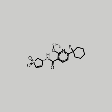 COc1nc(C2(F)CCCCC2)ccc1C(=O)N[C@@H]1C=CS(=O)(=O)C1